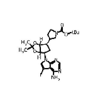 CC(C)(C)OC(=O)N1CCC([C@H]2C[C@@H](n3cc(I)c4c(N)ncnc43)[C@@H]3OC(C)(C)O[C@@H]32)C1